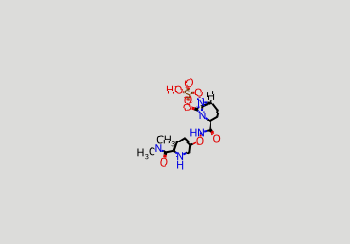 CN(C)C(=O)C1CCC(ONC(=O)[C@@H]2CC[C@@H]3CN2C(=O)N3OS(=O)(=O)O)CN1